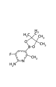 Cc1nc(N)c(F)cc1B1OC(C)(C)C(C)(C)O1